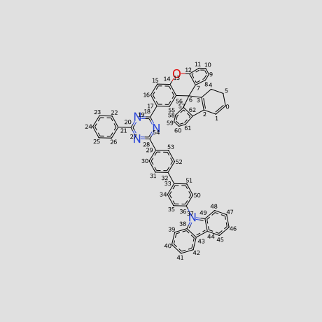 C1=CC2=C(CC1)C1(c3ccccc3Oc3ccc(-c4nc(-c5ccccc5)nc(-c5ccc(-c6ccc(-n7c8ccccc8c8ccccc87)cc6)cc5)n4)cc31)c1ccccc12